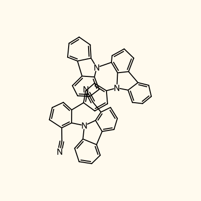 N#Cc1cccc(-c2ccc(-n3c4ccccc4c4cccc(-n5c6ccccc6c6ccccc65)c43)cc2)c1-n1c2ccccc2c2cccc(C#N)c21